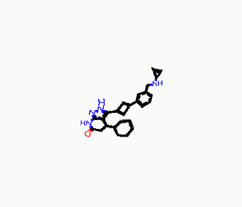 O=C1CC(C2CCCCC2)c2c(n[nH]c2C2CC(c3cccc(CNC4CC4)c3)C2)N1